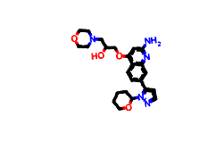 Nc1cc(OCC(O)CN2CCOCC2)c2ccc(-c3ccnn3C3CCCCO3)cc2n1